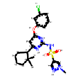 Cn1cc(S(=O)(=O)Nc2nc(Oc3cccc(Cl)c3)cc(C3CCCCC3(C)C)n2)cn1